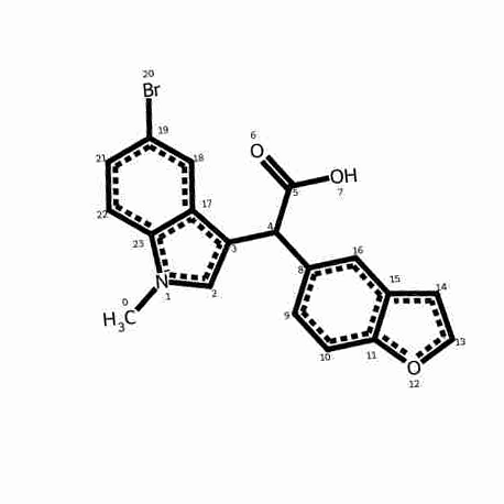 Cn1cc(C(C(=O)O)c2ccc3occc3c2)c2cc(Br)ccc21